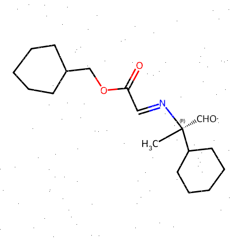 C[C@@]([C]=O)(N=CC(=O)OCC1CCCCC1)C1CCCCC1